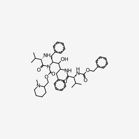 CC(C)[C@H](N)C(=O)N(C(=O)OCC1CCCCN1C)C(Cc1ccccc1)C(O)C(Cc1ccccc1)NC(=O)[C@@H](NC(=O)OCc1ccccc1)C(C)C